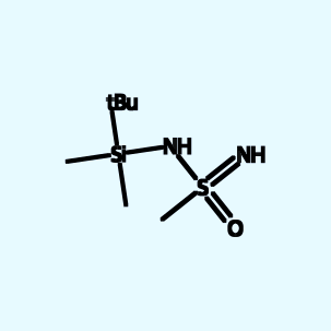 CC(C)(C)[Si](C)(C)NS(C)(=N)=O